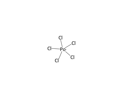 [Cl][Po]([Cl])([Cl])([Cl])[Cl]